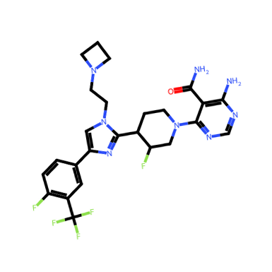 NC(=O)c1c(N)ncnc1N1CCC(c2nc(-c3ccc(F)c(C(F)(F)F)c3)cn2CCN2CCC2)C(F)C1